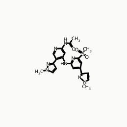 CC(=O)Nc1cc(Nc2cc(-c3ccn(C)n3)cc(S(C)(=O)=O)n2)c(-c2ccn(C)n2)cn1